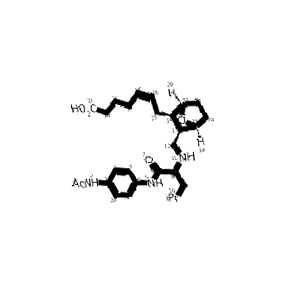 CC(=O)Nc1ccc(NC(=O)C(CC(C)C)NC[C@H]2[C@@H](C/C=C\CCCC(=O)O)[C@H]3CC[C@@H]2O3)cc1